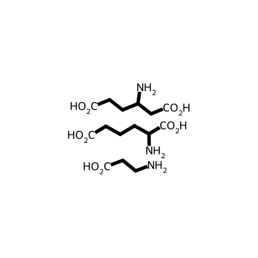 NC(CCC(=O)O)CC(=O)O.NC(CCCC(=O)O)C(=O)O.NCCC(=O)O